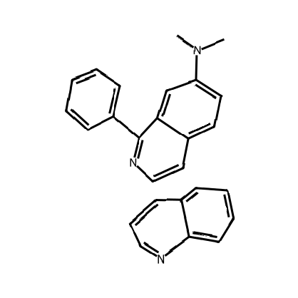 CN(C)c1ccc2ccnc(-c3ccccc3)c2c1.c1ccc2ncccc2c1